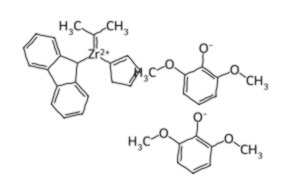 COc1cccc(OC)c1[O-].COc1cccc(OC)c1[O-].C[C](C)=[Zr+2]([C]1=CC=CC1)[CH]1c2ccccc2-c2ccccc21